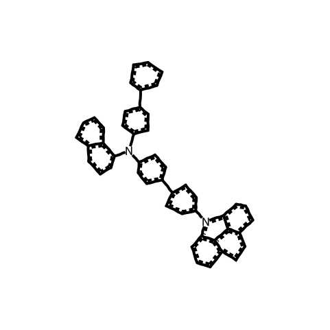 c1ccc(-c2ccc(N(c3ccc(-c4ccc(-n5c6cccc7ccc8cccc5c8c76)cc4)cc3)c3cccc4ccccc34)cc2)cc1